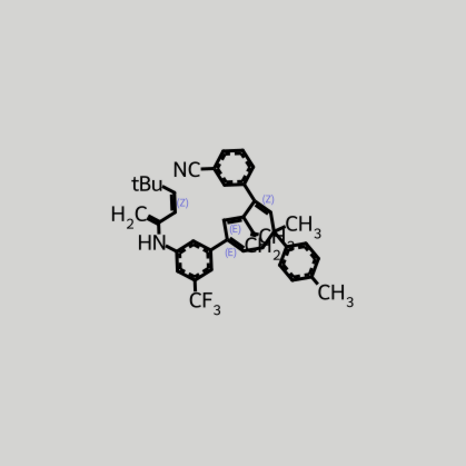 C=C(/C=C\C(C)(C)C)Nc1cc(C2=C\CC(C)(c3ccc(C)cc3)\C=C(c3cccc(C#N)c3)/C(C(=C)C)=C/2)cc(C(F)(F)F)c1